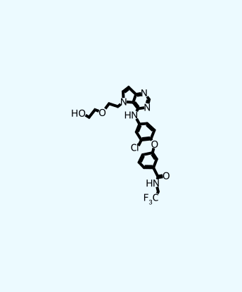 O=C(NCC(F)(F)F)c1cccc(Oc2ccc(Nc3ncnc4ccn(CCOCCO)c34)cc2Cl)c1